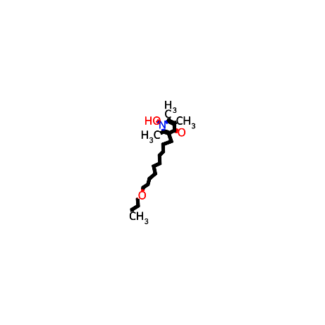 CCCCOCCCCCCCCCCc1c(C)n(O)c(C)c(C)c1=O